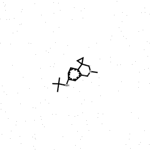 CN1Cc2cc(NC(C)(C)C)ccc2C2(CC2)C1